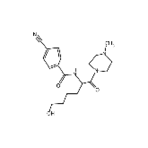 CN1CCN(C(=O)C(CCCCO)NC(=O)c2ccc(C#N)cc2)CC1